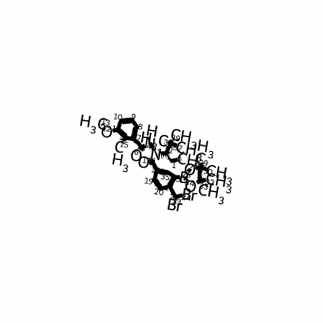 CC[C@@H](N(NC(=O)c1cccc(OC)c1C)C(=O)c1ccc(C(Br)Br)c(B2OC(C)(C)C(C)(C)O2)c1)C(C)(C)C